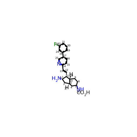 N[C@H]1C[C@@H]2CC(NC(=O)O)CC[C@H]2[C@@H]1/C=C/c1ccc(-c2cccc(F)c2)cn1